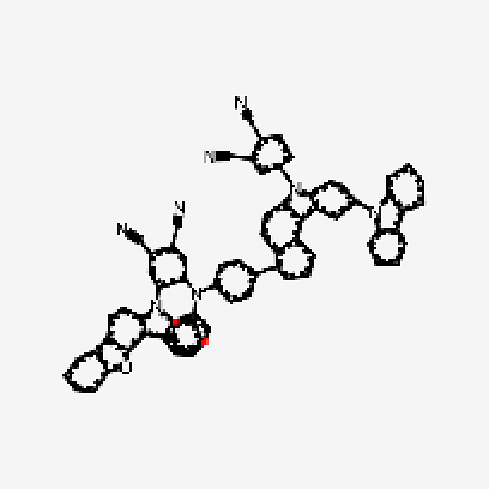 N#Cc1ccc(-n2c3ccc(-n4c5ccccc5c5ccccc54)cc3c3c4cccc(-c5ccc(N(c6ccccc6)c6cc(C#N)c(C#N)cc6-n6c7ccccc7c7c8oc9ccccc9c8ccc76)cc5)c4ccc32)cc1C#N